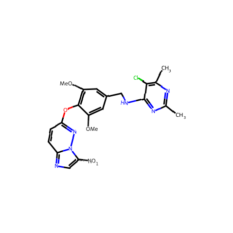 COc1cc(CNc2nc(C)nc(C)c2Cl)cc(OC)c1Oc1ccc2ncc([N+](=O)[O-])n2n1